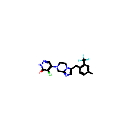 Cc1ccc(Cc2cnc3n2CCN(c2cn[nH]c(=O)c2Cl)C3)c(C(F)(F)F)c1